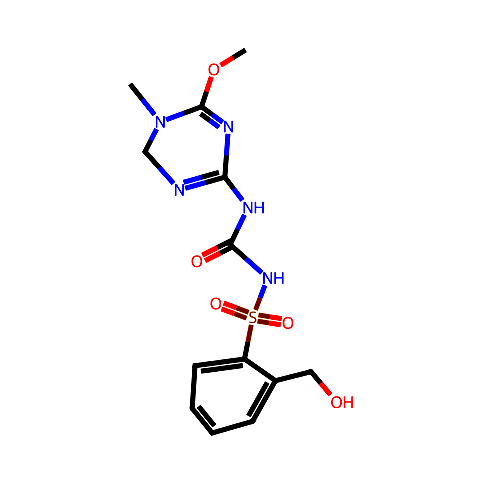 COC1=NC(NC(=O)NS(=O)(=O)c2ccccc2CO)=NCN1C